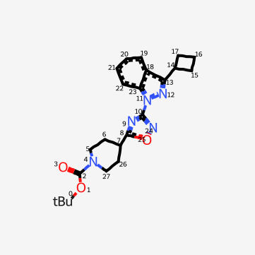 CC(C)(C)OC(=O)N1CCC(c2nc(-n3nc(C4CCC4)c4ccccc43)no2)CC1